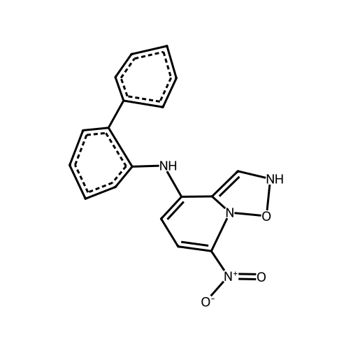 O=[N+]([O-])C1=CC=C(Nc2ccccc2-c2ccccc2)C2=CNON21